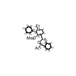 CCN1CCC(CON(C(C)=O)c2ccccc2F)[C@@H](OC)[C@H]1c1ccccc1